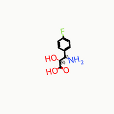 N[C@@H](c1ccc(F)cc1)[C@@H](O)C(=O)O